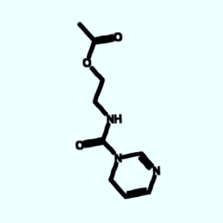 CC(=O)OCCNC(=O)N1C=NC=CC1